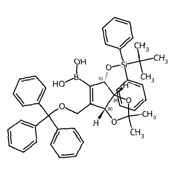 CC1(C)O[C@@H]2[C@H](O1)C(COC(c1ccccc1)(c1ccccc1)c1ccccc1)=C(B(O)O)[C@@H]2O[Si](c1ccccc1)(c1ccccc1)C(C)(C)C